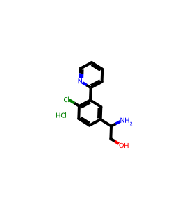 Cl.NC(CO)c1ccc(Cl)c(-c2ccccn2)c1